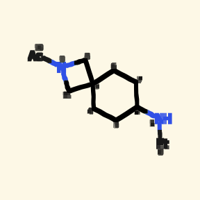 CCNC1CCC2(CC1)CN(C(C)=O)C2